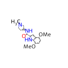 COc1ccc(OC)c2[nH]c(C(=O)N[C@H]3CCN(C)C3)cc12